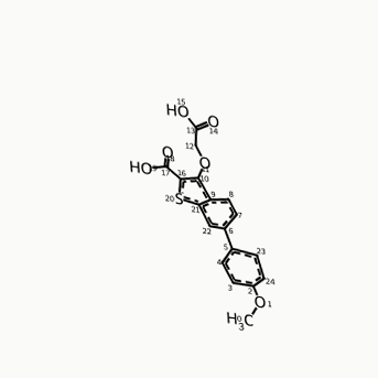 COc1ccc(-c2ccc3c(OCC(=O)O)c(C(=O)O)sc3c2)cc1